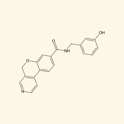 O=C(NCc1cccc(O)c1)c1ccc2c(c1)OCc1cnccc1-2